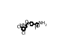 NC1=CC(C2CCN(C(=O)c3cc4cc(Cl)cc(Cl)c4[nH]3)CC2)N(I)O1